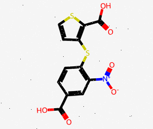 O=C(O)c1ccc(Sc2ccsc2C(=O)O)c([N+](=O)[O-])c1